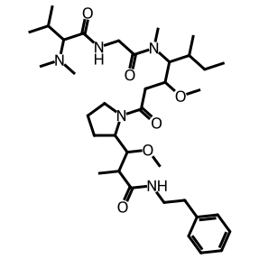 CCC(C)C(C(CC(=O)N1CCCC1C(OC)C(C)C(=O)NCCc1ccccc1)OC)N(C)C(=O)CNC(=O)C(C(C)C)N(C)C